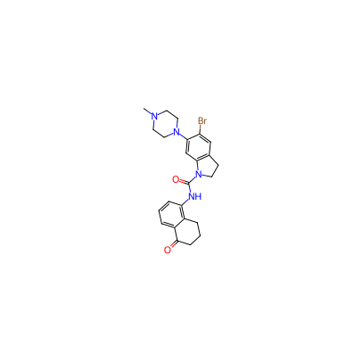 CN1CCN(c2cc3c(cc2Br)CCN3C(=O)Nc2cccc3c2CCCC3=O)CC1